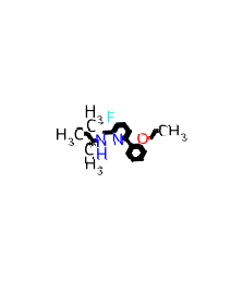 CCCOc1ccccc1-c1ccc(F)c(CN[C@H](C)C(C)C)n1